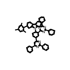 Cc1cc(C)c(-c2ccc3c4ccccc4n(-c4ccc(-c5cc(-c6ccccc6)nc(-c6ccccc6)n5)cc4-c4nc(-c5ccccc5)nc(-c5ccccc5)n4)c3c2)c(C)c1